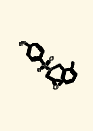 CCCc1ccc(S(=O)(=O)N(Cc2ccccc2C)CC2CO2)cc1